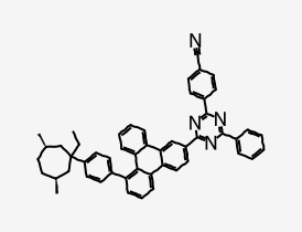 CCC1(c2ccc(-c3cccc4c5ccc(-c6nc(-c7ccccc7)nc(-c7ccc(C#N)cc7)n6)cc5c5ccccc5c34)cc2)C[C@H](C)CC[C@H](C)C1